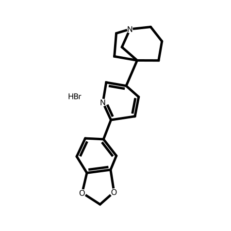 Br.c1cc2c(cc1-c1ccc(C34CCCN(CC3)C4)cn1)OCO2